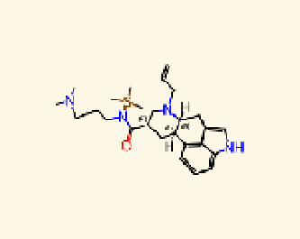 C=CCN1C[C@H](C(=O)N(CCCN(C)C)S(C)(C)C)C[C@@H]2c3cccc4[nH]cc(c34)C[C@H]21